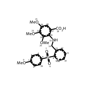 COc1ccc(S(=O)(=O)c2ncccc2CNc2c(C(=O)O)cc(OC)c(OC)c2OC)cc1